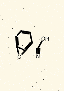 N#CO.c1ccc2c(c1)O2